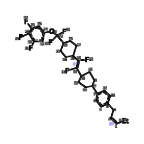 CC/C=C\Cc1ccc(C2CCC(/C(F)=C(\F)C3CCC(C(F)(F)Oc4cc(F)c(F)c(F)c4)CC3)CC2)cc1